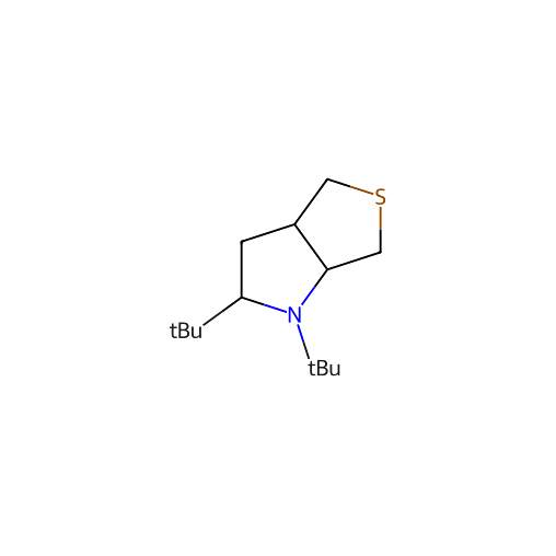 CC(C)(C)C1CC2CSCC2N1C(C)(C)C